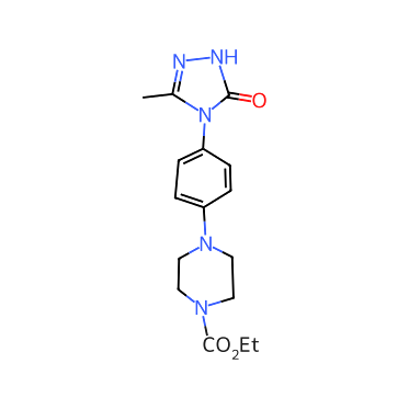 CCOC(=O)N1CCN(c2ccc(-n3c(C)n[nH]c3=O)cc2)CC1